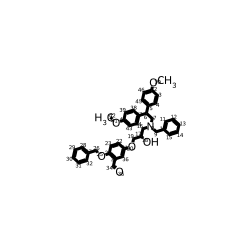 COc1ccc(C(CN(Cc2ccccc2)CC(O)COc2ccc(OCc3ccccc3)c(C=O)c2)c2ccc(OC)cc2)cc1